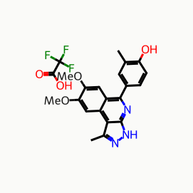 COc1cc2c(-c3ccc(O)c(C)c3)nc3[nH]nc(C)c3c2cc1OC.O=C(O)C(F)(F)F